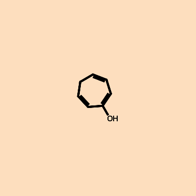 OC1=CC=CCC=C1